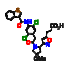 CO[C@H]1CC(c2cc(CCC(=O)O)on2)N(C(=O)Cc2cc(Cl)c(NC(=O)c3csc4ccccc34)cc2Cl)C1